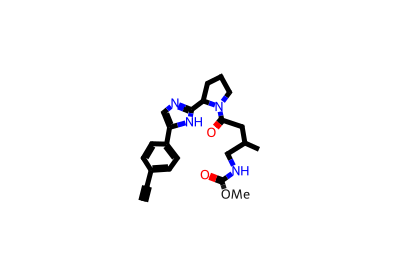 C#Cc1ccc(-c2cnc(C3CCCN3C(=O)CC(C)CNC(=O)OC)[nH]2)cc1